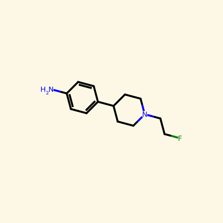 Nc1ccc(C2CCN(CCF)CC2)cc1